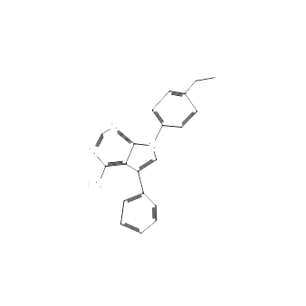 Nc1ncnc2c1c(-c1ccccc1)cn2-c1ccc(CCl)cc1